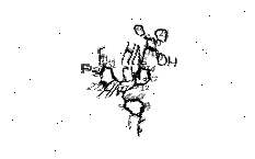 CC(NC(c1ccc(F)cc1)c1cccc(Nc2c(O)c(=O)c2=O)c1)c1ccc(F)c(F)c1